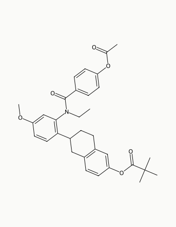 CCN(C(=O)c1ccc(OC(C)=O)cc1)c1cc(OC)ccc1C1CCc2cc(OC(=O)C(C)(C)C)ccc2C1